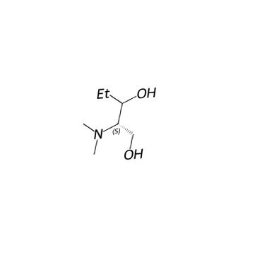 CCC(O)[C@H](CO)N(C)C